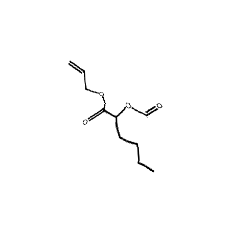 C=CCOC(=O)C(CCCC)O[C]=O